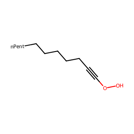 CCCCCCCCCCC#COO